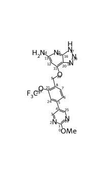 COc1ncc(-c2ccc(COc3cc(N)nc4[nH]nnc34)c(OC(F)(F)F)c2)cn1